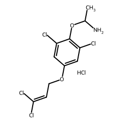 CC(N)Oc1c(Cl)cc(OCC=C(Cl)Cl)cc1Cl.Cl